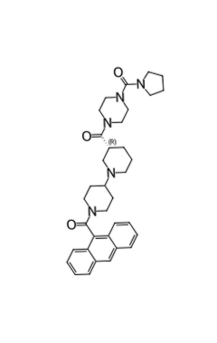 O=C(c1c2ccccc2cc2ccccc12)N1CCC(N2CCC[C@@H](C(=O)N3CCN(C(=O)N4CCCC4)CC3)C2)CC1